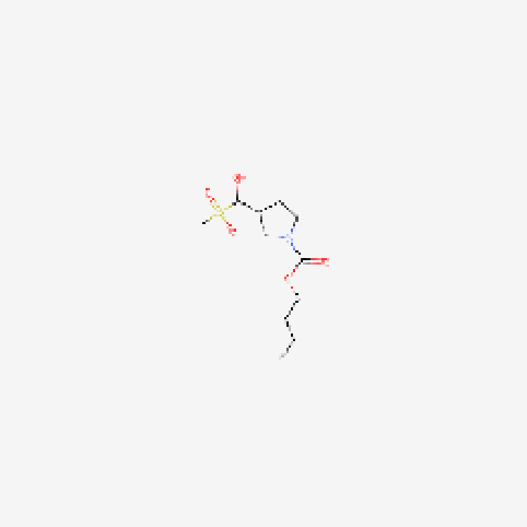 CCCCOC(=O)N1CCC(C(O)S(C)(=O)=O)C1